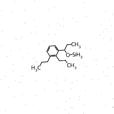 CCCc1cccc(C(CC)O[SiH3])c1CCC